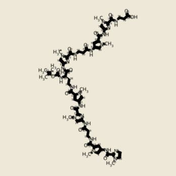 Cn1cc(NC(=O)c2nccn2C)cc1C(=O)NCCC(=O)Nc1cn(C)c(C(=O)Nc2cc(C(=O)NCC[C@@H](NC(=O)OC(C)(C)C)C(=O)Nc3cn(C)c(C(=O)NCCC(=O)Nc4cc(C(=O)Nc5cn(C)c(C(=O)NCCC(=O)O)n5)n(C)c4)n3)n(C)c2)n1